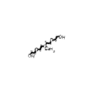 OCCOCCOCCOCCO.[CaH2]